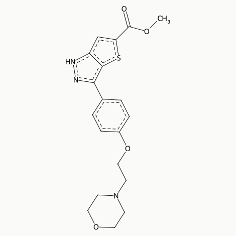 COC(=O)c1cc2[nH]nc(-c3ccc(OCCN4CCOCC4)cc3)c2s1